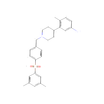 Cc1cc(C)cc(S(=O)(=O)c2ccc(CN3CCC(c4cc(N)ccc4C)CC3)cc2)c1